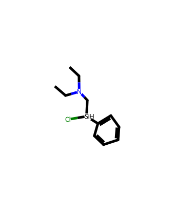 CCN(CC)C[SiH](Cl)c1ccccc1